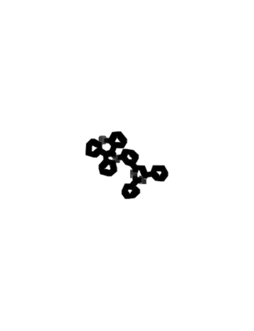 c1ccc(-c2cc(-c3cccc(-n4c5c(c6ccccc64)-c4ccccc4Oc4ccccc4-5)c3)nc(-c3ccccc3)n2)cc1